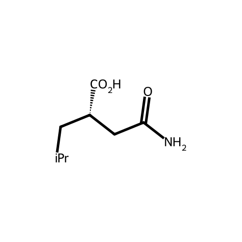 CC(C)C[C@@H](CC(N)=O)C(=O)O